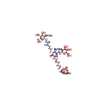 CC(=O)N[C@H]1[C@H](OCC(=O)NCCCC[C@H](NC(=O)CO[C@@H]2O[C@H](CO)[C@H](O)[C@H](O)[C@H]2NC(C)=O)C(=O)NCCOCCOC[C@@H](CC(C)(C)C)OP(=O)(O)OC(C)(C)C)O[C@H](CO)[C@H](O)[C@@H]1O